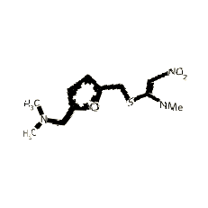 CNC(=C[N+](=O)[O-])SCc1ccc(CN(C)C)o1